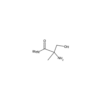 CNC(=O)C(C)(N)CO